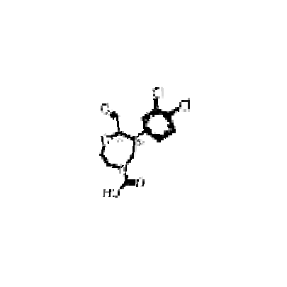 O=C[C@@H]1OCCN(C(=O)O)C[C@@H]1c1ccc(Cl)c(Cl)c1